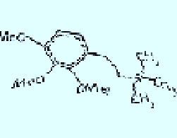 COc1ccc(CC[Si](C)(C)C)c(OC)c1OC